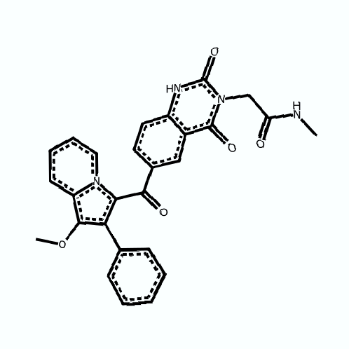 CNC(=O)Cn1c(=O)[nH]c2ccc(C(=O)c3c(-c4ccccc4)c(OC)c4ccccn34)cc2c1=O